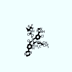 CC(C)(C)CCNC(=N)N(C(=O)c1ccc(-c2cnccn2)cc1)[C@H](COC(=O)NC1(C(F)(F)F)CC1)c1ccc(Cl)c(-c2ncn[nH]2)c1